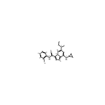 CCN(C)c1cc(NC2CC2)c2ncc(C(=O)Nc3ccncc3F)n2n1